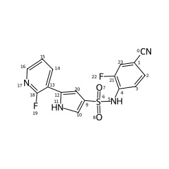 N#Cc1ccc(NS(=O)(=O)c2c[nH]c(-c3cccnc3F)c2)c(F)c1